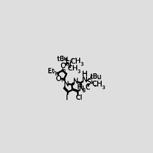 CC[C@H]1O[C@@H](n2cc(I)c3c(Cl)nc(N[Si](C)(C)C(C)(C)C)nc32)C[C@H]1O[Si](C)(C)C(C)(C)C